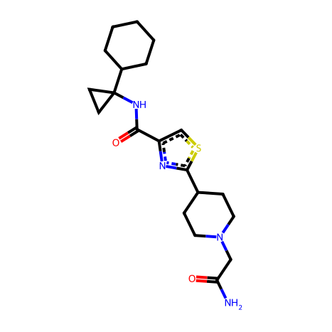 NC(=O)CN1CCC(c2nc(C(=O)NC3(C4CCCCC4)CC3)cs2)CC1